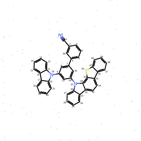 N#Cc1cccc(-c2cc(-n3c4ccccc4c4ccccc43)cc(-n3c4ccccc4c4ccc5c6ccccc6sc5c43)c2)c1